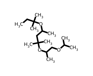 CCC(C)(C)OC(C)CC(C)(C)OC(C)COC(C)C